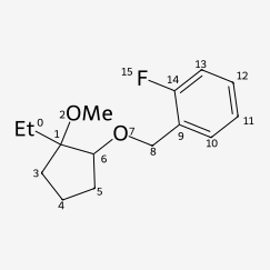 CCC1(OC)CCCC1OCc1ccccc1F